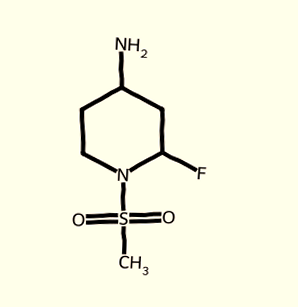 CS(=O)(=O)N1CCC(N)CC1F